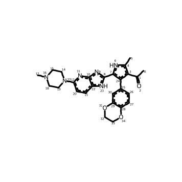 CC(=O)c1c(C)[nH]c(-c2nc3nc(N4CCN(C)CC4)ccc3[nH]2)c1-c1ccc2c(c1)OCCO2